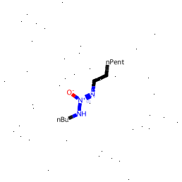 CCCCCCC/N=[N+](\[O-])NCCCC